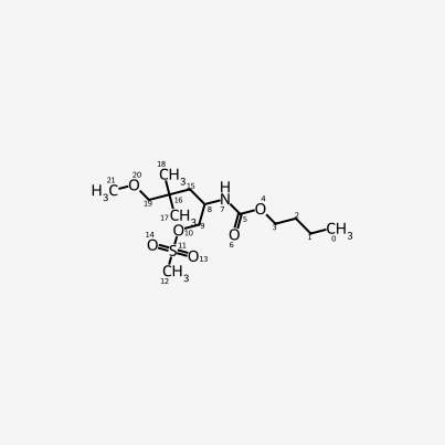 CCCCOC(=O)NC(COS(C)(=O)=O)CC(C)(C)COC